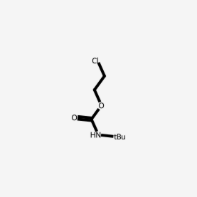 CC(C)(C)NC(=O)OCCCl